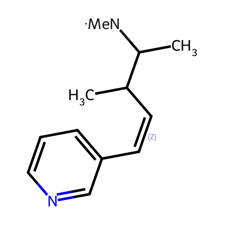 C[N]C(C)C(C)/C=C\c1cccnc1